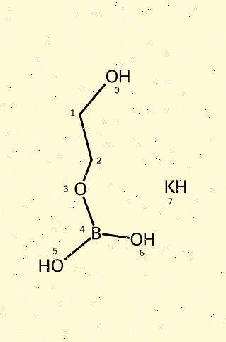 OCCOB(O)O.[KH]